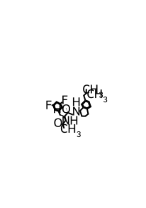 CC(=O)N[C@@H](Cc1cc(F)cc(F)c1)[C@H](O)CNC1CCCc2ccc(CC(C)C)cc21